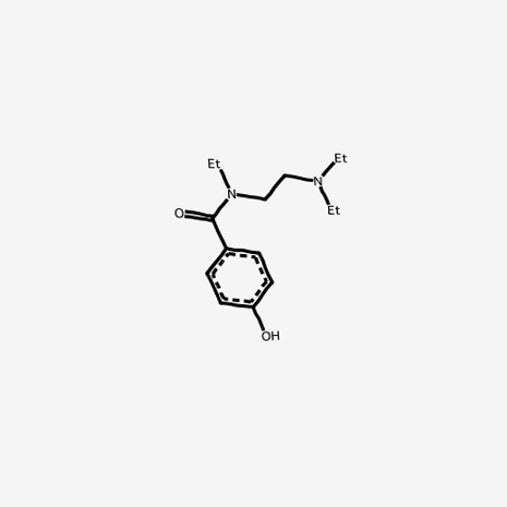 CCN(CC)CCN(CC)C(=O)c1ccc(O)cc1